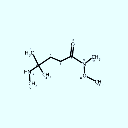 CNC(C)(C)CCC(=O)N(C)OC